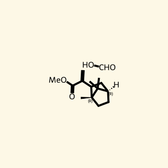 C=C(C(=O)OC)C1C[C@H]2CC[C@@]1(C)C2(C)C.O=CO